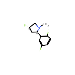 CN1C[C@@H](F)C[C@@H]1c1cc(F)ccc1F